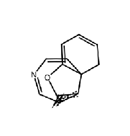 C1=CCC23C=CN=Cc4cccc(c42)OC3=C1